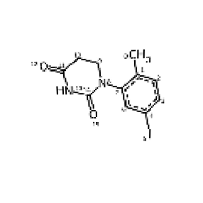 Cc1ccc(I)cc1N1CCC(=O)NC1=O